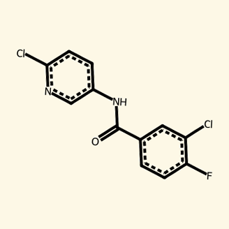 O=C(Nc1ccc(Cl)nc1)c1ccc(F)c(Cl)c1